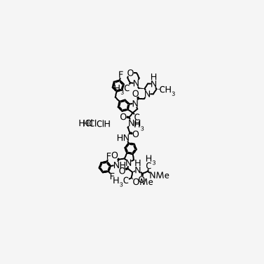 CNC(C)C(=O)N[C@H](C(=O)N1Cc2ccc(NC(=O)CNC(=O)C3(C)CN(C(=O)CN4C[C@@H](C)NC[C@@H]4CN4CCOCC4C)c4cc(Cc5ccc(F)cc5)ccc43)cc2C1C(=O)Nc1c(F)cccc1F)[C@@H](C)OC.Cl.Cl.Cl